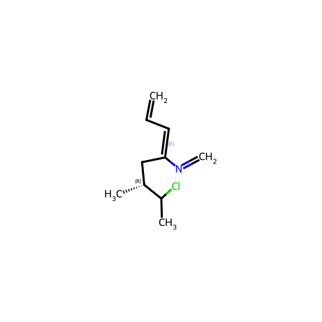 C=C/C=C(\C[C@@H](C)C(C)Cl)N=C